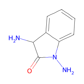 NC1C(=O)N(N)c2ccccc21